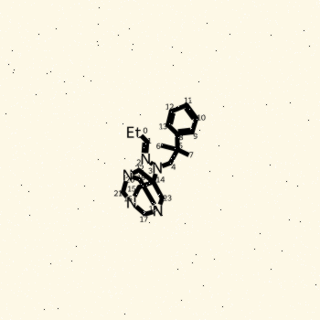 CCC=NN(CC(C)(C)c1ccccc1)C12CN3CN(CN(C3)C1)C2